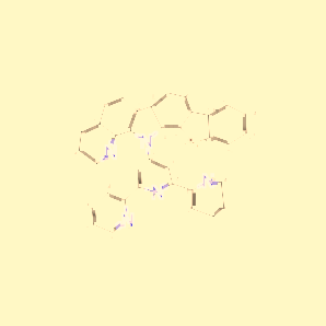 c1ccc(-c2cc(-n3c4c(ccc5cccnc54)c4ccc5c6ccccc6sc5c43)cc(-c3ccccn3)n2)nc1